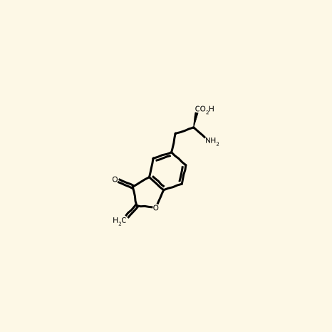 C=C1Oc2ccc(C[C@H](N)C(=O)O)cc2C1=O